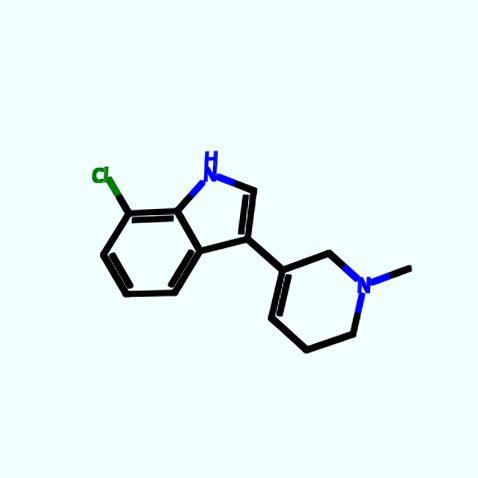 CN1CCC=C(c2c[nH]c3c(Cl)cccc23)C1